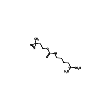 CC1(CCOC(=O)NCCCC[C@H](N)C(=O)O)N=N1